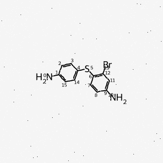 Nc1ccc(Sc2ccc(N)cc2Br)cc1